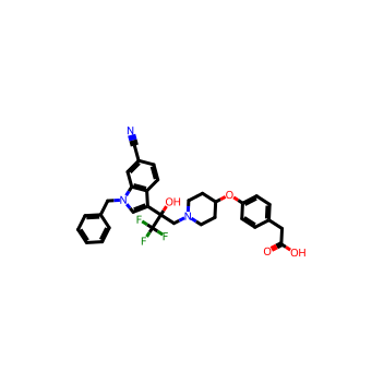 N#Cc1ccc2c(C(O)(CN3CCC(Oc4ccc(CC(=O)O)cc4)CC3)C(F)(F)F)cn(Cc3ccccc3)c2c1